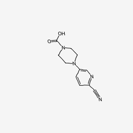 N#Cc1ccc(N2CCN(C(=O)O)CC2)cn1